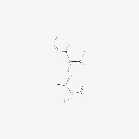 C=C(C)/C(=C\C=C(/C)N(CCC)C(=C)C)C(=C)/C=C\C